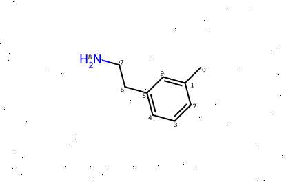 Cc1cccc(C[CH]N)c1